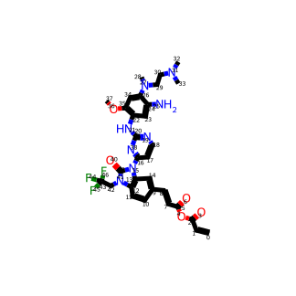 C=CC(=O)OC(=O)/C=C/c1ccc2c(c1)n(-c1ccnc(Nc3cc(N)c(N(C)CCN(C)C)cc3OC)n1)c(=O)n2CC(F)(F)F